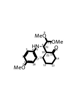 COc1ccc(N[C@H](C(OC)OC)[C@@H]2CCCCC2=O)cc1